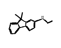 CCNc1ccc2c(c1)C(C)(C)c1ccccc1-2